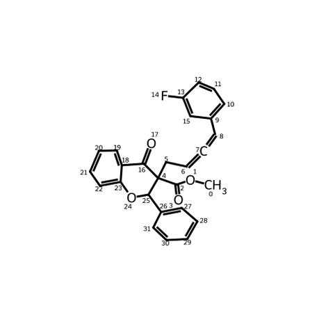 COC(=O)C1(CC=C=Cc2cccc(F)c2)C(=O)c2ccccc2OC1c1ccccc1